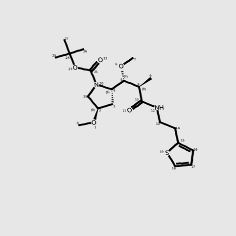 CO[C@@H]1C[C@@H]([C@H](OC)[C@@H](C)C(=O)NCCc2cccs2)N(C(=O)OC(C)(C)C)C1